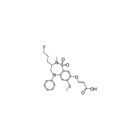 CSc1cc2c(cc1O/C=C/C(=O)O)S(=O)(=O)N(C)C(CCCF)CN2c1ccccc1